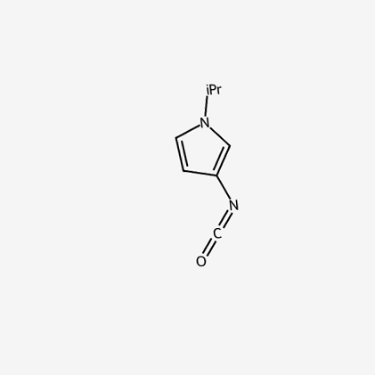 CC(C)n1ccc(N=C=O)c1